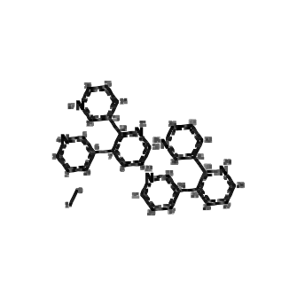 CC.c1cncc(-c2cccnc2-c2cccnc2)c1.c1cncc(-c2cccnc2-c2cccnc2)c1